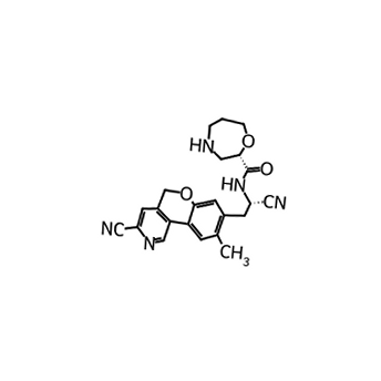 Cc1cc2c(cc1C[C@@H](C#N)NC(=O)[C@@H]1CNCCCO1)OCc1cc(C#N)ncc1-2